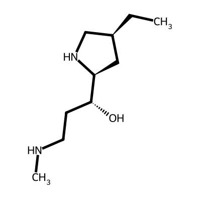 CC[C@@H]1CN[C@H]([C@H](O)CCNC)C1